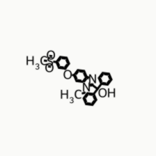 CCn1c(C(O)(c2ccccc2)c2ccccc2)nc2ccc(Oc3cccc(S(C)(=O)=O)c3)cc21